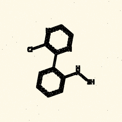 SNc1ccccc1-c1nccnc1Cl